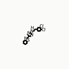 Clc1ccc(CCNc2n[c]c(-c3nc4ccccc4s3)cn2)cc1Cl